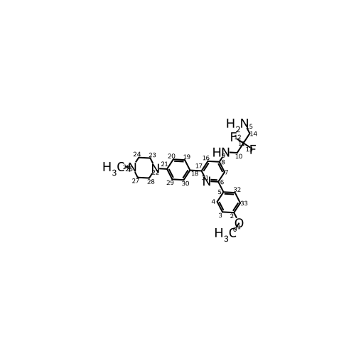 COc1ccc(-c2cc(NCC(F)(F)CN)cc(-c3ccc(N4CCN(C)CC4)cc3)n2)cc1